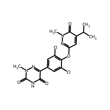 CC(C)c1cc(Oc2c(Cl)cc(-c3nn(C)c(=O)[nH]c3=O)cc2Cl)nn(C)c1=O